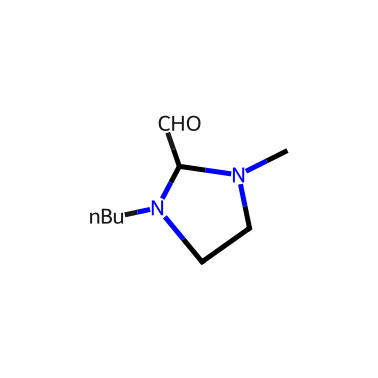 CCCCN1CCN(C)C1C=O